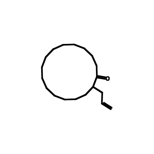 C=CCC1CCCCCCCCCCCCCCC1=O